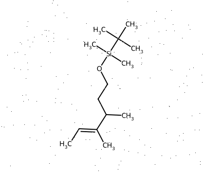 C/C=C(\C)C(C)CCO[Si](C)(C)C(C)(C)C